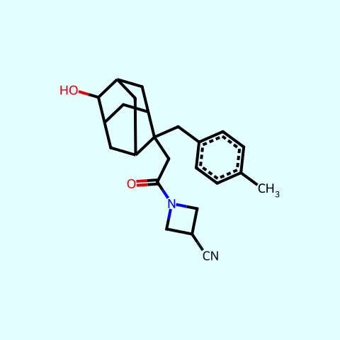 Cc1ccc(CC2(CC(=O)N3CC(C#N)C3)C3CC4CC2CC(C3)C4O)cc1